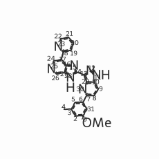 COc1cc(C)cc(-c2ccc3[nH]nc(-c4nc5c(-c6ccccn6)cncc5[nH]4)c3n2)c1